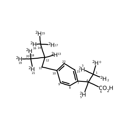 [2H]C([2H])([2H])C([2H])(C(=O)O)c1ccc(CC([2H])(C([2H])([2H])[2H])C([2H])([2H])[2H])cc1